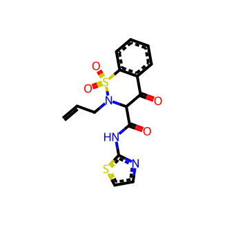 C=CCN1C(C(=O)Nc2nccs2)C(=O)c2ccccc2S1(=O)=O